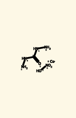 NNC(=O)NN.O=[N+]([O-])O.[Co]